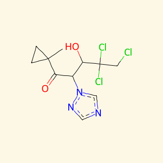 CC1(C(=O)C(C(O)C(Cl)(Cl)CCl)n2cncn2)CC1